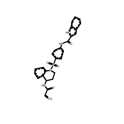 C=CC(=O)NC1CCN(S(=O)(=O)c2ccc(NC(=O)c3cc4ccccc4[nH]3)cc2)c2ccccc21